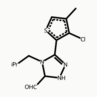 Cc1csc(C2=NNC(C=O)N2CC(C)C)c1Cl